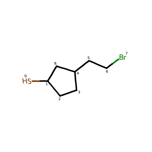 SC1CCC(CCBr)C1